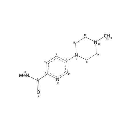 CNC(=O)c1ccc(N2CCN(C)CC2)cn1